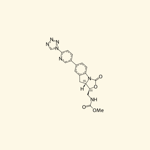 COC(=O)NC[C@@H]1OC(=O)N2c3ccc(-c4ccc(-n5cnnn5)nc4)cc3C[C@@H]12